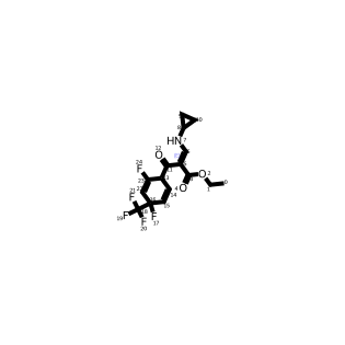 CCOC(=O)/C(=C/NC1CC1)C(=O)C1C=CC(F)(C(F)(F)F)C=C1F